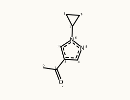 CC(=O)c1cnn(C2CC2)c1